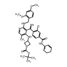 COc1ccc(CNc2ncc(C)c(NC3CN(C(=O)OC(C)(C)C)C3)c2C(=N)c2ccc(C(=O)NC3=NCCC=C3)cc2Cl)c(OC)c1